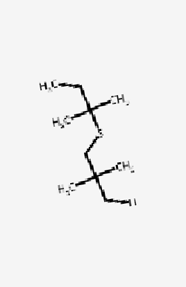 [Li][CH2]C(C)(C)CSC(C)(C)CC